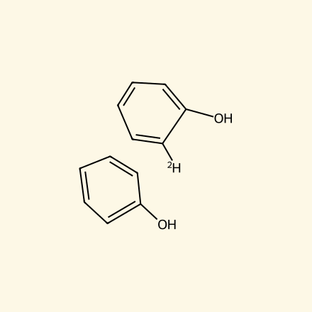 Oc1ccccc1.[2H]c1ccccc1O